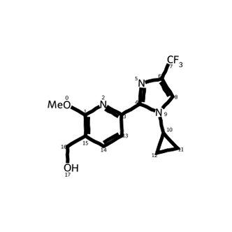 COc1nc(-c2nc(C(F)(F)F)cn2C2CC2)ccc1CO